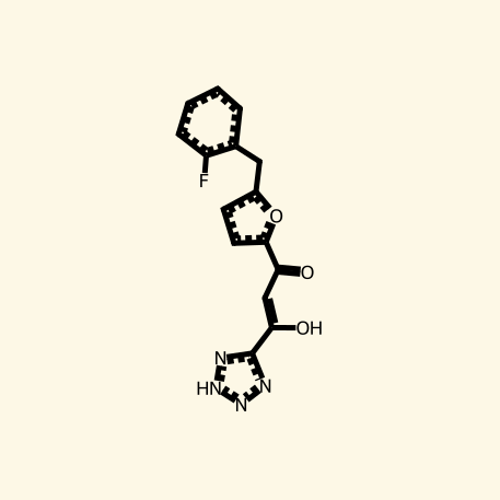 O=C(C=C(O)c1nn[nH]n1)c1ccc(Cc2ccccc2F)o1